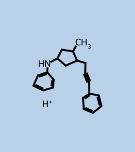 CC1CC(Nc2ccccc2)CC1CC#Cc1ccccc1.[H+]